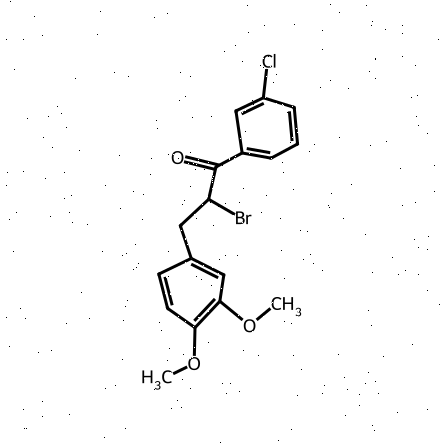 COc1ccc(CC(Br)C(=O)c2cccc(Cl)c2)cc1OC